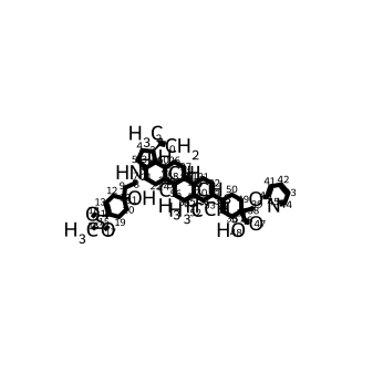 C=C(C)[C@@H]1CC[C@]2(NCC[C@@]3(O)CC=C(S(C)(=O)=O)CC3)CC[C@]3(C)[C@H](CC[C@@H]4[C@@]5(C)CC=C(C6=CCC(COc7ccccn7)(C(=O)O)CC6)C(C)(C)[C@@H]5CC[C@]43C)[C@@H]12